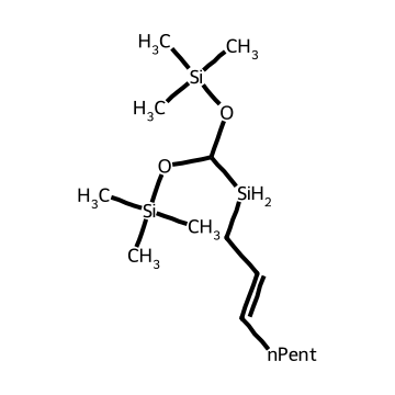 CCCCC/C=C/C[SiH2]C(O[Si](C)(C)C)O[Si](C)(C)C